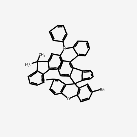 CC(C)(C)c1ccc2c(c1)C1(c3cc(C(C)(C)C)ccc3O2)c2ccccc2-c2c(-c3ccccc3N(c3ccccc3)c3ccc4c(c3)C(C)(C)c3ccccc3-4)cccc21